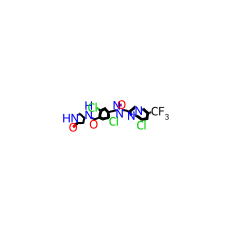 O=C1CC(NC(=O)c2cc(Cl)c(-c3noc(-c4cn5cc(C(F)(F)F)cc(Cl)c5n4)n3)cc2Cl)CN1